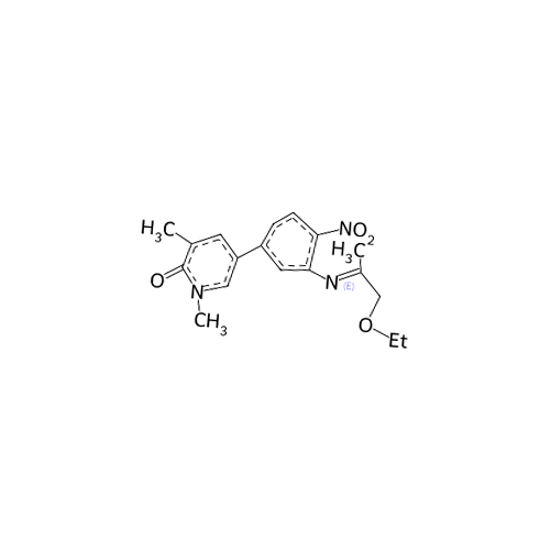 CCOC/C(C)=N/c1cc(-c2cc(C)c(=O)n(C)c2)ccc1[N+](=O)[O-]